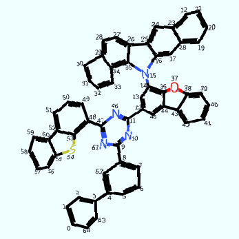 c1ccc(-c2cccc(-c3nc(-c4cc(-n5c6cc7ccccc7cc6c6ccc7ccccc7c65)c5oc6ccccc6c5c4)nc(-c4cccc5c4sc4ccccc45)n3)c2)cc1